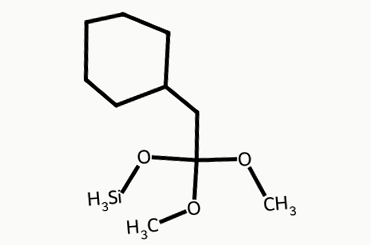 COC(CC1CCCCC1)(OC)O[SiH3]